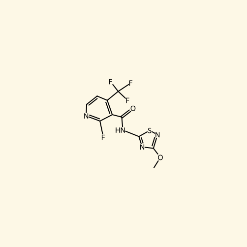 COc1nsc(NC(=O)c2c(C(F)(F)F)ccnc2F)n1